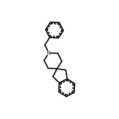 c1ccc(CN2CCC3(CC2)Cc2ccccc2C3)cc1